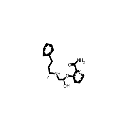 C[C@H](CCc1ccccc1)NC[C@H](O)Oc1ccccc1C(N)=O